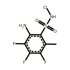 Cc1c(F)c(F)c(F)c(N)c1S(=O)(=O)NCl